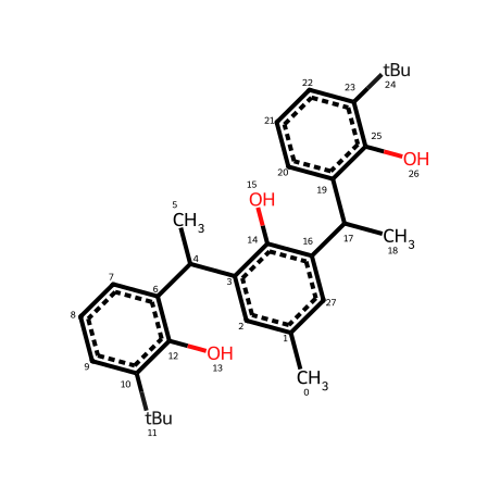 Cc1cc(C(C)c2cccc(C(C)(C)C)c2O)c(O)c(C(C)c2cccc(C(C)(C)C)c2O)c1